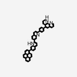 C1=Cc2c(-c3ccc(-c4ccc5ccc(C6=CC=C7C=CC(c8ccc9ccc%10cccc%11ccc8c9c%10%11)=CC7N6)cc5n4)cc3)cc3cccnc3c2NC1